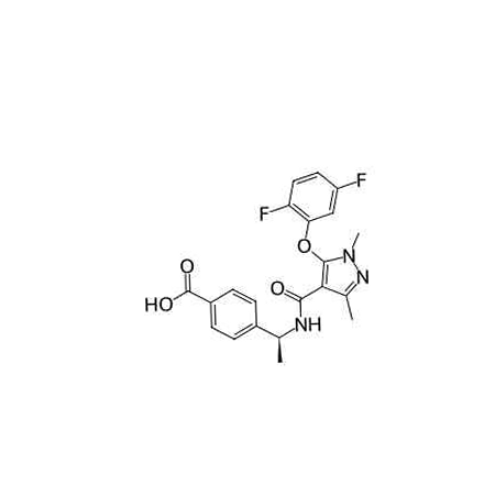 Cc1nn(C)c(Oc2cc(F)ccc2F)c1C(=O)N[C@@H](C)c1ccc(C(=O)O)cc1